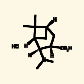 CN(C)[C@H]1[C@H]2C[C@@H](C[C@H]1C(=O)O)C2(C)C.Cl